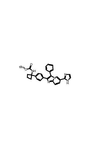 CC(C)(C)OC(=O)NC1(c2ccc(-c3nc4ccc(-c5ncc[nH]5)cn4c3-c3ccccc3)cc2)CCC1